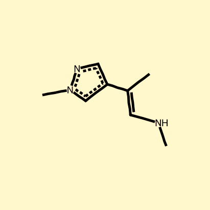 CN/C=C(\C)c1cnn(C)c1